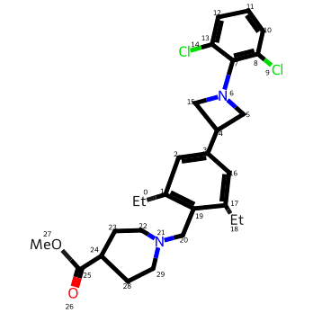 CCc1cc(C2CN(c3c(Cl)cccc3Cl)C2)cc(CC)c1CN1CCC(C(=O)OC)CC1